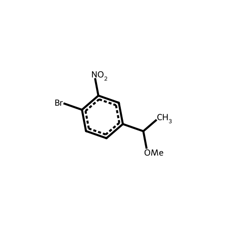 COC(C)c1ccc(Br)c([N+](=O)[O-])c1